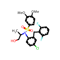 COc1ccc(S(=O)(=O)N(c2ccc(Cl)cc2Cc2c(F)cccc2F)C(C)CO)cc1OC